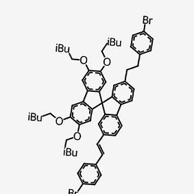 CCC(C)COc1cc2c(cc1OCC(C)CC)C1(c3cc(/C=C/c4ccc(Br)cc4)ccc3-c3ccc(CCc4ccc(Br)cc4)cc31)c1cc(OCC(C)CC)c(OCC(C)CC)cc1-2